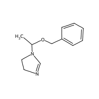 CC(OCc1ccccc1)N1C=NCC1